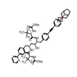 COC(=O)N[C@H](C(=O)N[C@@H](Cc1ccc(C#Cc2ccc(N3CC4CCC(C3)N4C3COC3)nc2)cc1)[C@@H](O)CN(Cc1ccc(-c2ccccn2)cc1Cl)NC(=O)[C@@H](NC(=O)OC)C(C)(C)C(F)(F)F)C(C)(C)C(F)(F)F